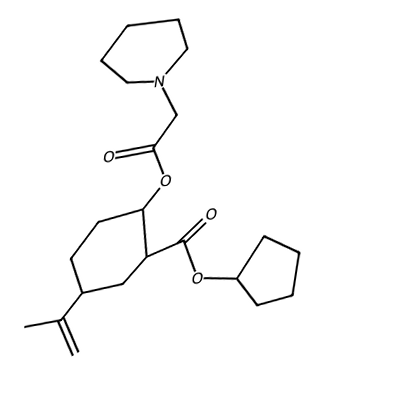 C=C(C)C1CCC(OC(=O)CN2CCCCC2)C(C(=O)OC2CCCC2)C1